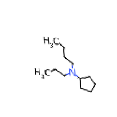 CCCCN(CCC)[C]1CCCC1